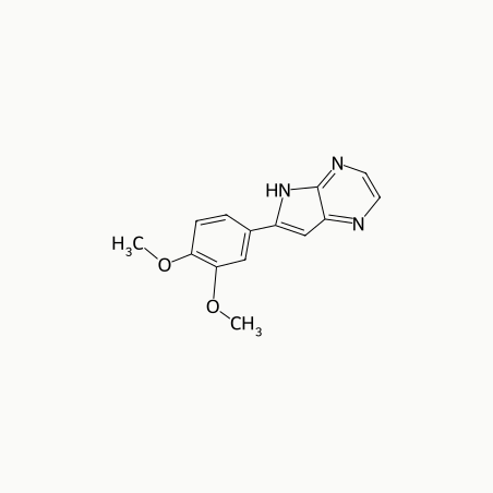 COc1ccc(-c2cc3nccnc3[nH]2)cc1OC